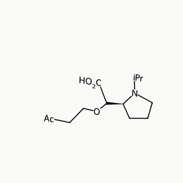 CC(=O)CCOC(C(=O)O)[C@@H]1CCCN1C(C)C